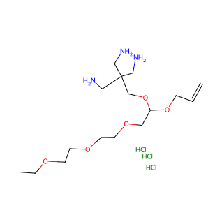 C=CCOC(COCCOCCOCC)OCC(CN)(CN)CN.Cl.Cl.Cl